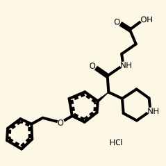 Cl.O=C(O)CCNC(=O)[C@H](c1ccc(OCc2ccccc2)cc1)C1CCNCC1